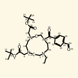 CCN1CCN(CC(=O)OC(C)(C)C)CCN(CC(=O)OC(C)(C)C)CCN(C(=O)c2ccc(C=O)cc2)CC1